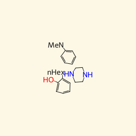 C1CNCCN1.CCCCCCc1ccccc1O.CNc1ccccc1